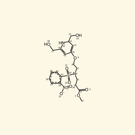 COC(=O)CCN(CCOC1=CC(CO)NC(CO)=C1)S(=O)(=O)c1ccccc1[N+](=O)[O-]